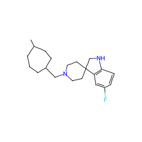 CC1CCCC(CN2CCC3(CC2)CNc2ccc(F)cc23)CC1